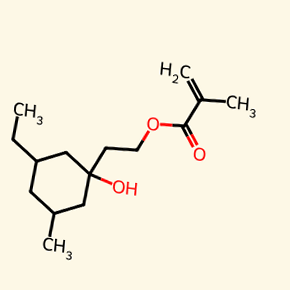 C=C(C)C(=O)OCCC1(O)CC(C)CC(CC)C1